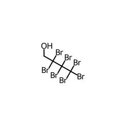 OCC(Br)(Br)C(Br)(Br)C(Br)(Br)Br